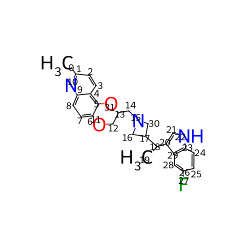 Cc1ccc2c3c(ccc2n1)OCC(CN1CC(C(C)c2c[nH]c4ccc(F)cc24)C1)O3